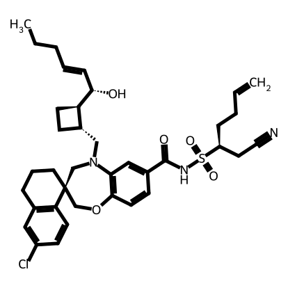 C=CCC[C@@H](CC#N)S(=O)(=O)NC(=O)c1ccc2c(c1)N(C[C@@H]1CC[C@H]1[C@@H](O)/C=C/CCC)C[C@@]1(CCCc3cc(Cl)ccc31)CO2